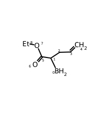 BC(CC=C)C(=O)OCC